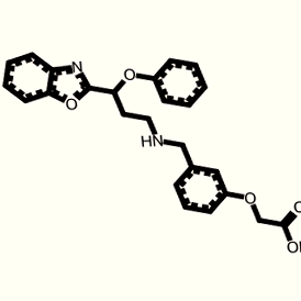 O=C(O)COc1cccc(CNCCC(Oc2ccccc2)c2nc3ccccc3o2)c1